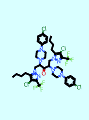 CCCCc1c(Cl)c(C(F)(F)F)nn1CC(C(=O)C(Cn1nc(C(F)(F)F)c(Cl)c1CCCC)N1CCN(c2ccc(Cl)cc2)CC1)N1CCN(c2ccc(Cl)cc2)CC1